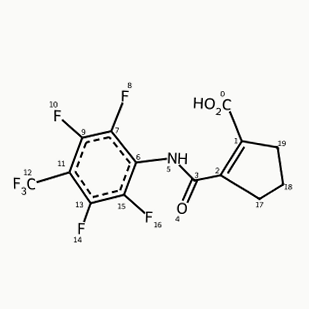 O=C(O)C1=C(C(=O)Nc2c(F)c(F)c(C(F)(F)F)c(F)c2F)CCC1